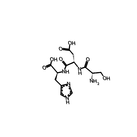 N[C@@H](CO)C(=O)N[C@@H](CC(=O)O)C(=O)N[C@@H](Cc1c[nH]cn1)C(=O)O